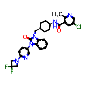 Cc1ncc(Cl)cc1C(=O)N[C@H]1CC[C@H](Cn2c(=O)n(-c3ccc(N4CC(F)(F)C4)nc3)c3ccccc32)CC1